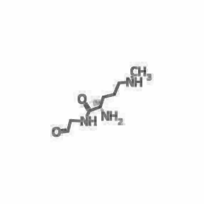 CNCCC[C@H](N)C(=O)NCC=O